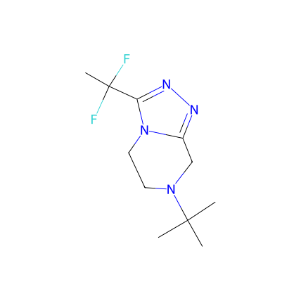 CC(F)(F)c1nnc2n1CCN(C(C)(C)C)C2